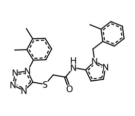 Cc1ccccc1Cn1nccc1NC(=O)CSc1nnnn1-c1cccc(C)c1C